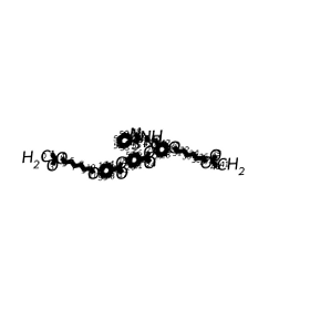 C=CC(=O)OCCCCCCOc1ccc(C(=O)Oc2ccc(C(=O)Oc3ccc(OCCCCCCOC(=O)C=C)cc3/C=N/Nc3nc4ccccc4s3)cc2)cc1